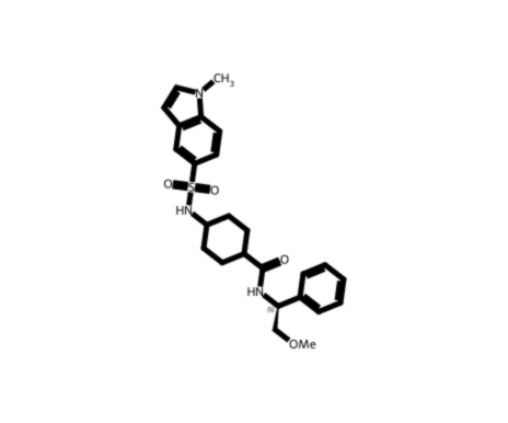 COC[C@@H](NC(=O)C1CCC(NS(=O)(=O)c2ccc3c(ccn3C)c2)CC1)c1ccccc1